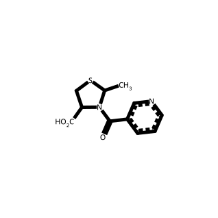 CC1SCC(C(=O)O)N1C(=O)c1cccnc1